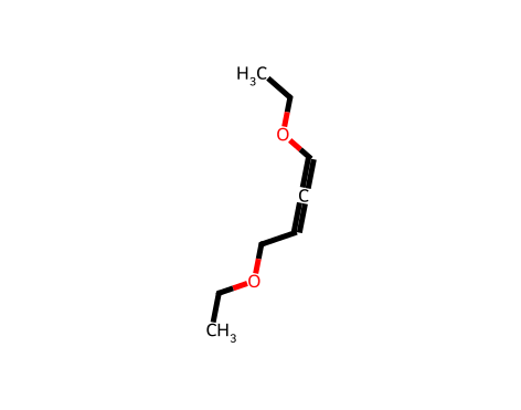 CCOC=C=CCOCC